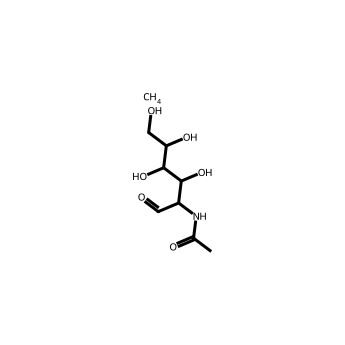 C.CC(=O)NC(C=O)C(O)C(O)C(O)CO